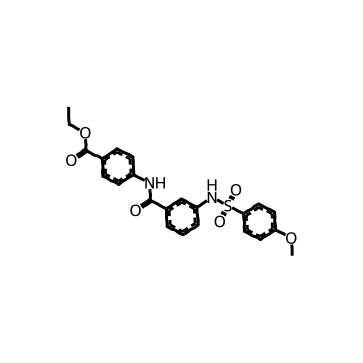 CCOC(=O)c1ccc(NC(=O)c2cccc(NS(=O)(=O)c3ccc(OC)cc3)c2)cc1